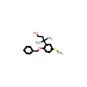 CSc1ccc(OCc2ccccc2)c(C(C)(C)CCO)c1